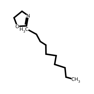 C1=NCCO1.CCCCCCCCCC